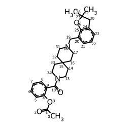 CC(=O)Oc1ccccc1C(=O)N1CCC2(CCN(Cc3cccc4c3OC(C)(C)C4)CC2)CC1